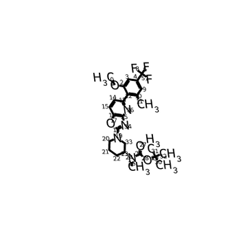 COc1cc(C(F)(F)F)cc(C)c1-c1ccc2oc(N3CCC[C@@H](N(C)C(=O)OC(C)(C)C)C3)nc2n1